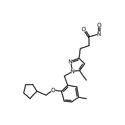 Cc1ccc(OCC2CCCC2)c(Cn2nc(CCC(=O)N=O)cc2C)c1